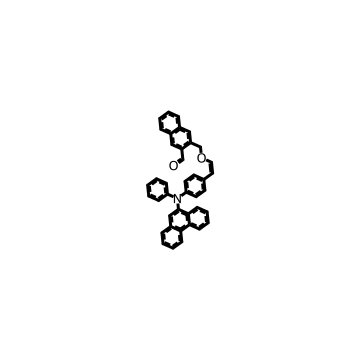 O=Cc1cc2ccccc2cc1CO/C=C\c1ccc(N(c2ccccc2)c2cc3ccccc3c3ccccc23)cc1